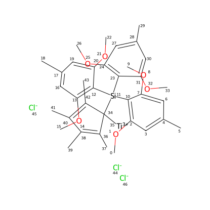 COc1cc(C)cc(OC)c1[Si](c1c(OC)cc(C)cc1OC)(c1c(OC)cc(C)cc1OC)[C]1([Ti+3])C(C)=C(C)C(C)=C1C.[Cl-].[Cl-].[Cl-]